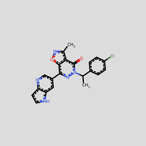 Cc1noc2c(-c3cnc4cc[nH]c4c3)nn(C(C)c3ccc(Cl)cc3)c(=O)c12